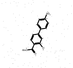 COC(=O)c1ccc(-c2ccc([N+](=O)[O-])cc2)cc1Cl